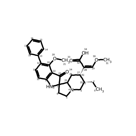 CC[C@@H]1CN2CCC3(Nc4ccc(-c5ccccc5)c(OC)c4C3=O)C2C[C@@H]1C(=COC)C(=O)O